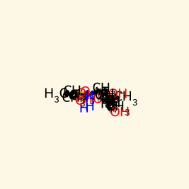 CC[C@H]1[C@@H](O)[C@@H]2[C@H](C[C@H](O)[C@]3(C)[C@@H]([C@H](C)CCNC(=O)NS(=O)(=O)c4ccc(C(C)(C)C)cc4)CC[C@@H]23)[C@@]2(C)CC[C@@H](O)C[C@@H]12